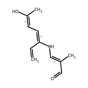 C=C/C(=C\C=C(/C)O)N/C=C(\C)C=O